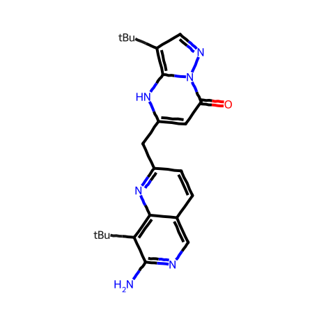 CC(C)(C)c1c(N)ncc2ccc(Cc3cc(=O)n4ncc(C(C)(C)C)c4[nH]3)nc12